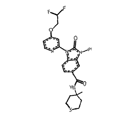 CC(C)n1c(=O)n(-c2cc(OCC(F)F)ccn2)c2ccc(C(=O)NC3(C)CCSCC3)cc21